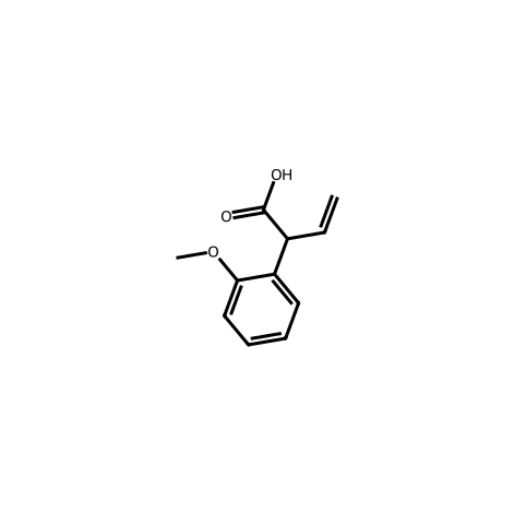 C=CC(C(=O)O)c1ccccc1OC